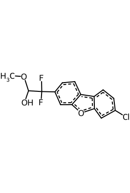 COC(O)C(F)(F)c1ccc2c(c1)oc1cc(Cl)ccc12